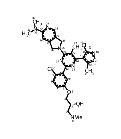 CNC[C@@H](O)COc1ccc(Cl)c(-c2nc(-c3c(C)noc3C)c(C)c(N3Cc4cnc(N(C)C)cc4C3)n2)c1